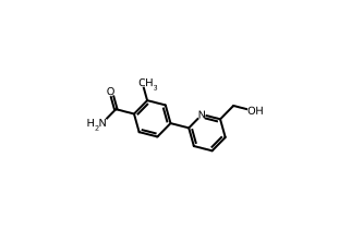 Cc1cc(-c2cccc(CO)n2)ccc1C(N)=O